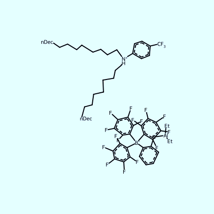 CCCCCCCCCCCCCCCCCC[NH+](CCCCCCCCCCCCCCCCCC)c1ccc(C(F)(F)F)cc1.C[CH2][Al]([CH2]C)[O]c1ccccc1[B-](c1c(F)c(F)c(F)c(F)c1F)(c1c(F)c(F)c(F)c(F)c1F)c1c(F)c(F)c(F)c(F)c1F